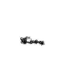 CCOC(=O)c1nnn(CCCCc2ccc(OCc3coc(/C=C/c4ccc(C(F)(F)F)cc4)n3)cc2)c1C(=O)OCC